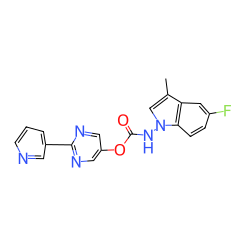 Cc1cn(NC(=O)Oc2cnc(-c3cccnc3)nc2)c2ccc(F)cc12